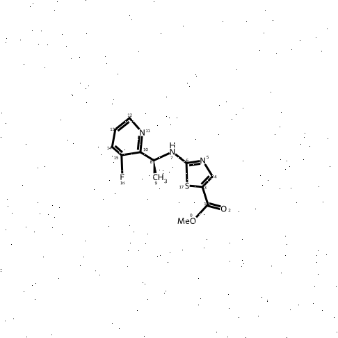 COC(=O)c1cnc(N[C@@H](C)c2ncccc2F)s1